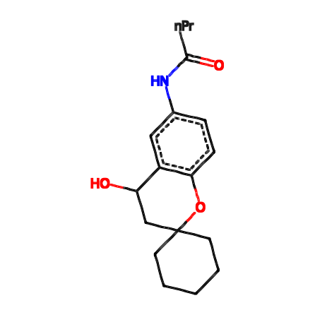 CCCC(=O)Nc1ccc2c(c1)C(O)CC1(CCCCC1)O2